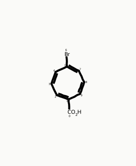 O=C(O)C1=C/C=C\C(Br)=C/C=C\1